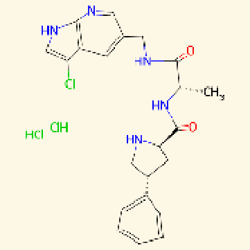 C[C@H](NC(=O)[C@H]1C[C@H](c2ccccc2)CN1)C(=O)NCc1cnc2[nH]cc(Cl)c2c1.Cl.Cl